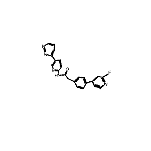 O=C(Cc1ccc(-c2ccnc(F)c2)cc1)Nc1ccc(-c2cccnn2)cn1